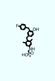 Cc1cc(NCP(C)(=O)O)cc(C)c1Cc1ccc(O)c(Cc2ccc(F)cc2)c1